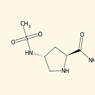 CS(=O)(=O)N[C@H]1CN[C@H](C(N)=O)C1